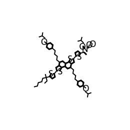 C=C(c1ccc(-c2cc3c(CCCCc4ccc(OCC(C)C)cc4)cc4c(cc(CCCCc5ccc(OCC(C)C)cc5)c5cc(-c6ccc(C(C)(CC)CCCCC)s6)sc54)c3s2)s1)N(COOC)OCC(C)C